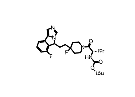 CC(C)[C@H](NC(=O)OC(C)(C)C)C(=O)N1CCC(F)(CCC2c3c(F)cccc3-c3cncn32)CC1